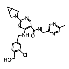 Cc1cnc(CNC(=O)c2cnc(N3CC4CC4C3)nc2NCc2ccc(CO)c(Cl)c2)cn1